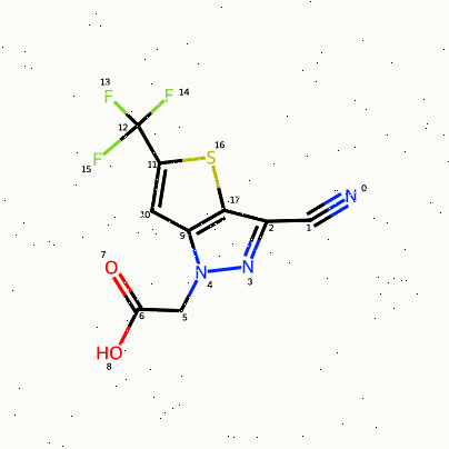 N#Cc1nn(CC(=O)O)c2cc(C(F)(F)F)sc12